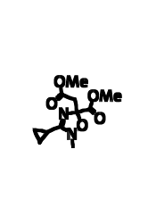 COC(=O)CC1(C(=O)OC)N=C(C2CC2)N(C)O1